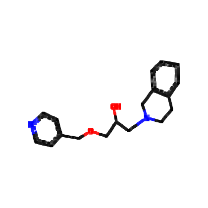 OC(COCc1ccncc1)CN1CCc2ccccc2C1